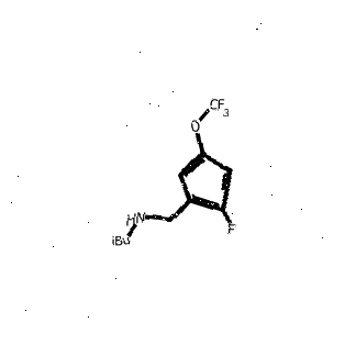 CCC(C)NCc1cc(OC(F)(F)F)ccc1F